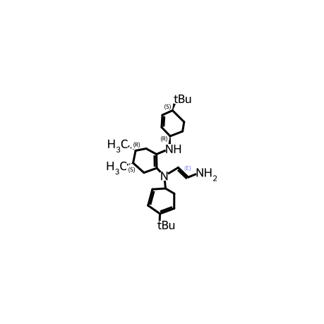 C[C@@H]1CC(N[C@H]2C=C[C@@H](C(C)(C)C)CC2)=C(N(/C=C/N)C2C=CC(C(C)(C)C)=CC2)C[C@@H]1C